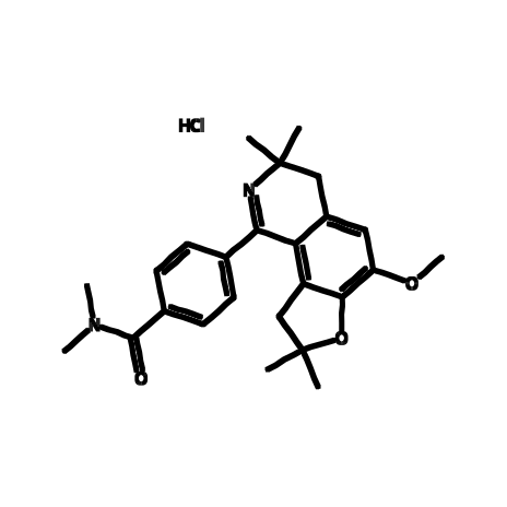 COc1cc2c(c3c1OC(C)(C)C3)C(c1ccc(C(=O)N(C)C)cc1)=NC(C)(C)C2.Cl